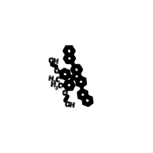 Cc1cc(C2(c3ccc(OCCO)c(C)c3)c3cc(-c4ccc5ccccc5c4)ccc3-c3ccc(-c4ccc5ccccc5c4)cc32)ccc1OCCO